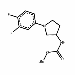 CC(C)(C)OC(=O)NC1CCN(c2ccc(F)c(F)c2)C1